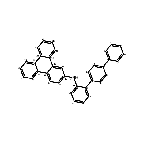 c1ccc(-c2ccc(-c3ccccc3Nc3ccc4c5ccccc5c5ccccc5c4c3)cc2)cc1